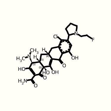 CN(C)[C@@H]1C(O)=C(C(N)=O)C(=O)[C@@]2(O)C(O)=C3C(=O)c4c(O)cc(C5CCCN5CCF)c(Cl)c4C[C@H]3C[C@@H]12